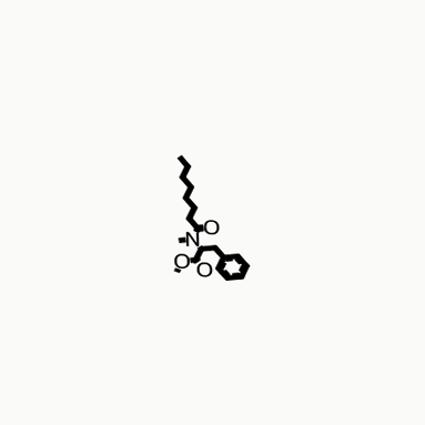 CCCCCCCC(=O)N(C)C(Cc1ccccc1)C(=O)OC